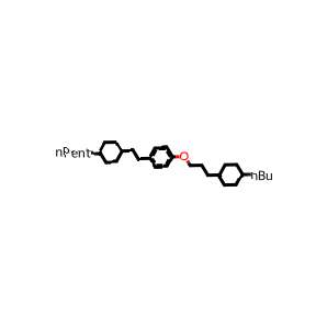 CCCCCC1CCC(CCc2ccc(OCCCC3CCC(CCCC)CC3)cc2)CC1